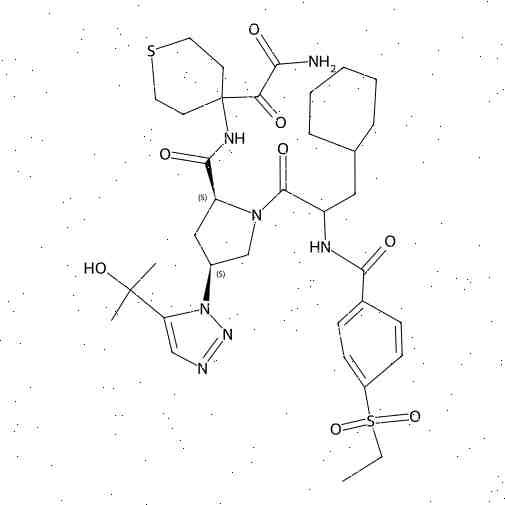 CCS(=O)(=O)c1ccc(C(=O)NC(CC2CCCCC2)C(=O)N2C[C@@H](n3nncc3C(C)(C)O)C[C@H]2C(=O)NC2(C(=O)C(N)=O)CCSCC2)cc1